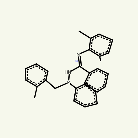 Cc1ccccc1CP(N/C(=N/c1c(C)cccc1C)c1ccccc1)c1ccccc1